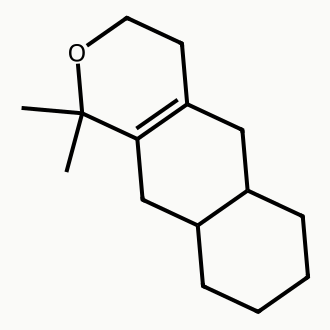 CC1(C)OCCC2=C1CC1CCCCC1C2